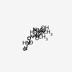 CCn1c(=C(C#N)C(=O)NC(CO)C(=O)OC)sc(=CNc2cccc(C(=O)NCCCN3CCCC3)c2)c1=O